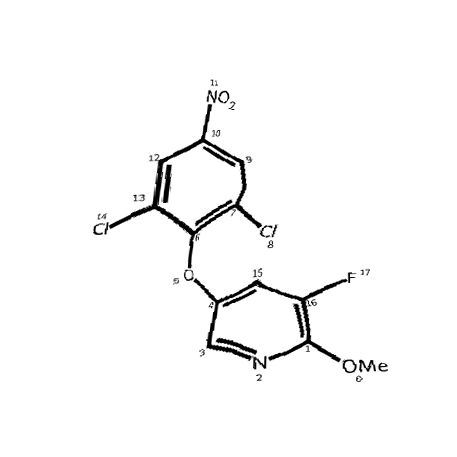 COc1ncc(Oc2c(Cl)cc([N+](=O)[O-])cc2Cl)cc1F